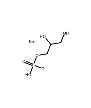 O=P([O-])(O)OCC(O)CO.[Na+]